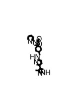 Cc1n[nH]cc1-c1ccc(NCC2CCC3(CC2)CN(c2ccccn2)C(=O)O3)nc1